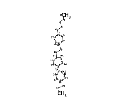 CCCCCc1ccc(CCc2ccc(-c3ccc(CCC)cn3)cc2)cc1